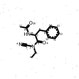 CCN(C#N)C(=O)C(Cc1ccccc1)NC(C)=O